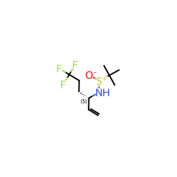 C=C[C@H](CCC(F)(F)F)N[S+]([O-])C(C)(C)C